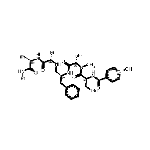 CCC[C@@H](C(=O)N[C@H](CN[C@@H](CC)C(=O)N[C@H](C(=O)NCC)C(C)C)Cc1ccccc1)N(C)C(=O)[C@H](CC(C)(C)C)NC(=O)c1cc[n+](O)cc1